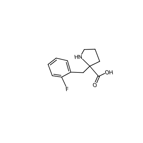 O=C(O)C1(Cc2ccccc2F)CCCN1